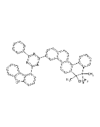 CC1(C)c2ccccc2-c2c(ccc3c2ccc2ccc(-c4nc(-c5ccccc5)nc(-c5cccc6oc7ccccc7c56)n4)cc23)C1(C)C